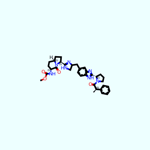 COC(=O)N[C@H]1CC[C@H]2CC[C@@H](C3=NC(Cc4ccc5[nH]c([C@@H]6CCCN6C(=O)[C@H](C)c6ccccc6)nc5c4)CN3)N2C1=O